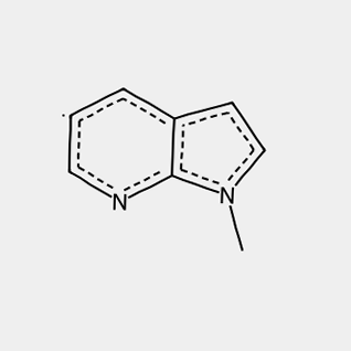 Cn1ccc2c[c]cnc21